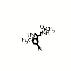 CC(=O)NCCc1c[nH]c2c(C)cc(C#N)cc12